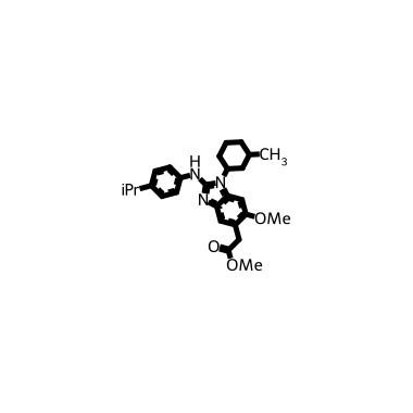 COC(=O)Cc1cc2nc(Nc3ccc(C(C)C)cc3)n(C3CCCC(C)C3)c2cc1OC